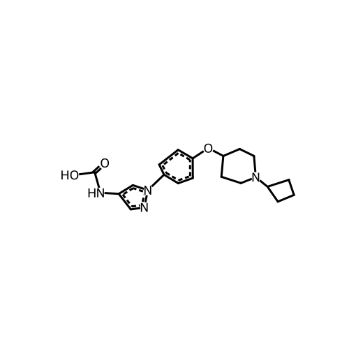 O=C(O)Nc1cnn(-c2ccc(OC3CCN(C4CCC4)CC3)cc2)c1